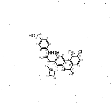 O=C(O)c1ccc(NC(=O)[C@@H](CC2CCC2)c2ccc(-c3c(C(F)F)ccc(Cl)c3F)c[n+]2O)cc1